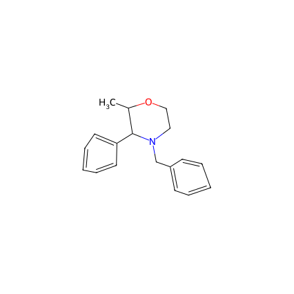 CC1OCCN(Cc2ccccc2)C1c1ccccc1